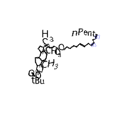 CCCCC/C=C\C/C=C\CCCCCCCCOC(=O)CC[C@@H](C)C1CCC2C3CCC4C[C@H](OC(=O)C(C)(C)C)CC[C@]4(C)C3CC[C@@]21C